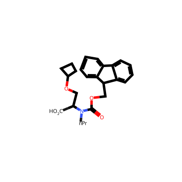 CCCN(C(=O)OCC1c2ccccc2-c2ccccc21)C(COC1CCC1)C(=O)O